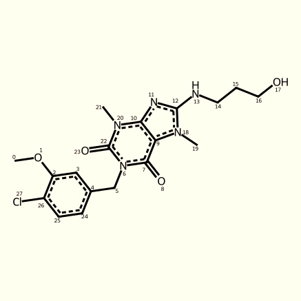 COc1cc(Cn2c(=O)c3c(nc(NCCCO)n3C)n(C)c2=O)ccc1Cl